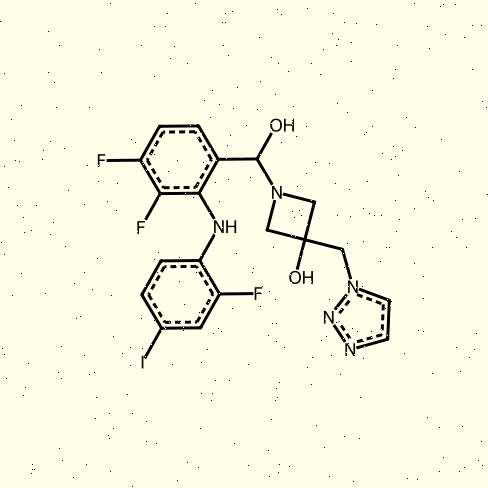 OC(c1ccc(F)c(F)c1Nc1ccc(I)cc1F)N1CC(O)(Cn2ccnn2)C1